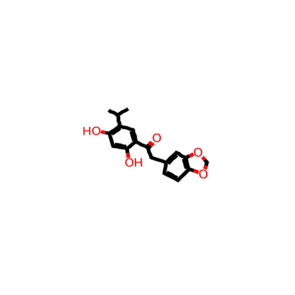 CC(C)c1cc(C(=O)Cc2ccc3c(c2)OCO3)c(O)cc1O